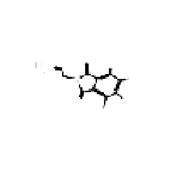 C=CCN1C(=O)c2c(Cl)c(Cl)c(Cl)c(Cl)c2C1=O